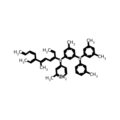 C=C\C=C/C(=C\C)C(/C)=C/C=C(\C=C)N(C(/C=C\CC)=C/C(=C)C)c1cc(C)cc(N(c2cccc(C)c2)c2cc(C)cc(C)c2)c1